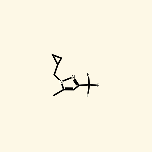 Cc1cc(C(F)(F)F)nn1CC1CC1